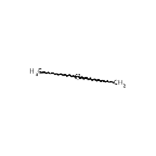 CCCCCCCC/C=C/CCCCCCCCOCCCCCCCC/C=C/CCCCCCCC